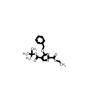 CCOC(=O)c1ncc(C(=O)OC(C)(C)C)c(OCc2ccccc2)n1